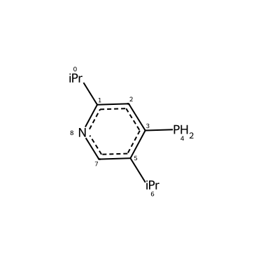 CC(C)c1cc(P)c(C(C)C)cn1